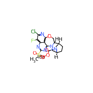 CC(C)(C)OC(=O)N1C[C@H]2CC[C@@H]1CN1c3nc(S(C)(=O)=O)nc4c(F)c(Cl)nc(c34)OC[C@H]21